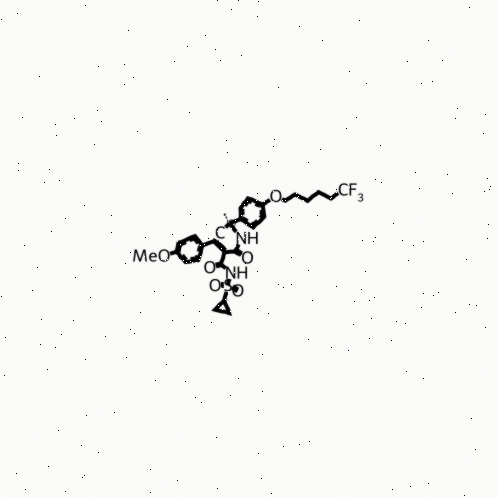 COc1ccc(C2=C(C(=O)NS(=O)(=O)C3CC3)C(=O)N[C@](C)(c3ccc(OCCCCCC(F)(F)F)cc3)C2)cc1